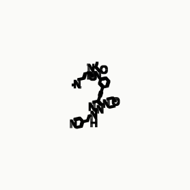 CC(C(=O)Nc1cccc(C#Cc2cnc(NCCc3ccncc3)nc2N2CCOCC2)c1)N(C)C(=O)C=CCN(C)C